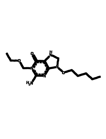 CCCCCON1CNc2c1nc(N)n(COCC)c2=O